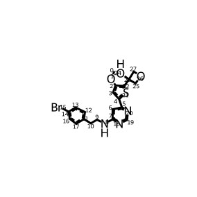 COc1cc(-c2cc(NCCc3ccc(Br)cc3)ncn2)sc1C1(O)COC1